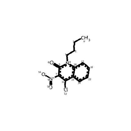 CCCCn1c(=O)c([N+](=O)[O-])c(Cl)c2ccccc21